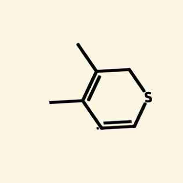 CC1=C(C)CSC=[C]1